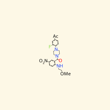 COCCNc1ccc([N+](=O)[O-])cc1C(=O)N1CCN(c2ccc(C(C)=O)cc2F)CC1